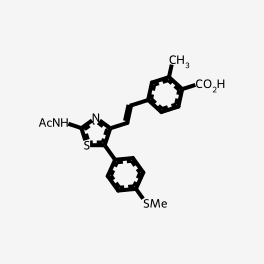 CSc1ccc(-c2sc(NC(C)=O)nc2C=Cc2ccc(C(=O)O)c(C)c2)cc1